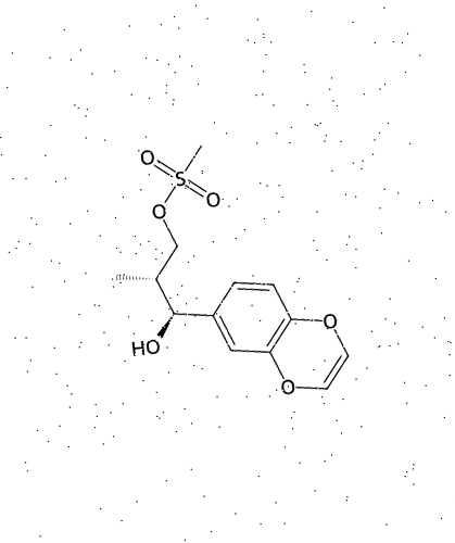 C[C@H](COS(C)(=O)=O)[C@H](O)c1ccc2c(c1)OC=CO2